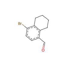 O=Cc1ccc(Br)c2c1CCCC2